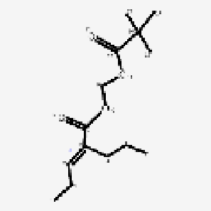 CC/C=C(\CCC)C(=O)OCOC(=O)C(C)(C)C